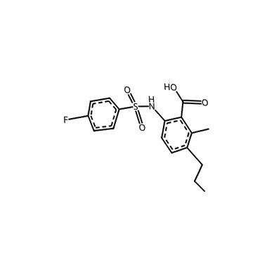 CCCc1ccc(NS(=O)(=O)c2ccc(F)cc2)c(C(=O)O)c1C